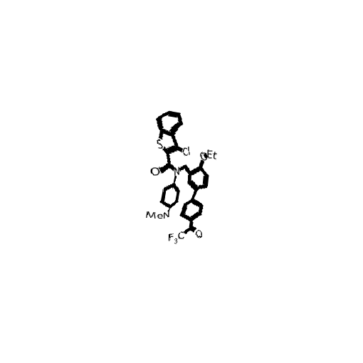 CCOc1ccc(-c2ccc(C(=O)C(F)(F)F)cc2)cc1CN(C(=O)c1sc2ccccc2c1Cl)[C@H]1CC[C@H](NC)CC1